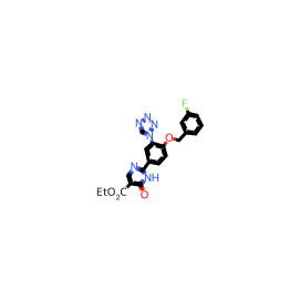 CCOC(=O)c1cnc(-c2ccc(OCc3cccc(F)c3)c(-n3cnnn3)c2)[nH]c1=O